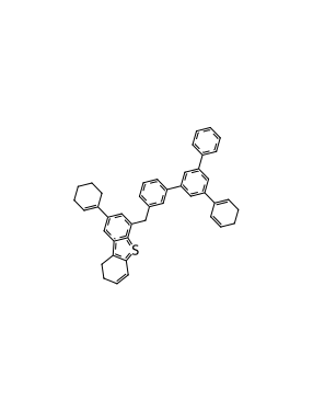 C1=CC(c2cc(-c3ccccc3)cc(-c3cccc(Cc4cc(C5=CCCCC5)cc5c6c(sc45)C=CCC6)c3)c2)=CCC1